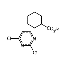 Clc1ccnc(Cl)n1.O=C(O)C1CCCCC1